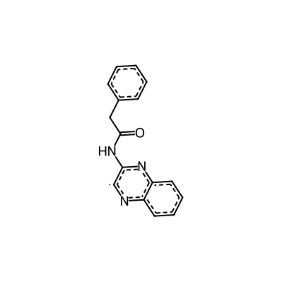 O=C(Cc1ccccc1)Nc1[c]nc2ccccc2n1